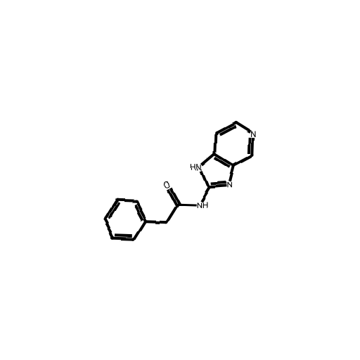 O=C(Cc1ccccc1)Nc1nc2cnccc2[nH]1